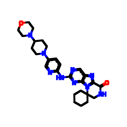 O=C1NCC2(CCCCC2)n2c1nc1cnc(Nc3ccc(N4CCC(N5CCOCC5)CC4)cn3)nc12